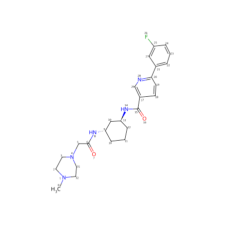 CN1CCN(CC(=O)N[C@H]2CCC[C@H](NC(=O)c3ccc(-c4cccc(F)c4)nc3)C2)CC1